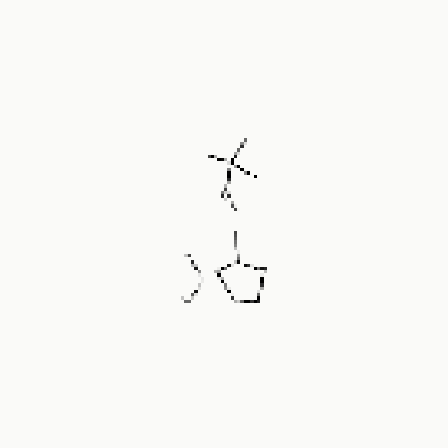 CC1CCCO1.CCOCC.COC(C)(C)C